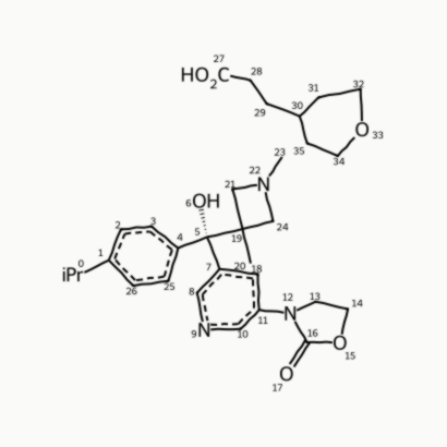 CC(C)c1ccc([C@](O)(c2cncc(N3CCOC3=O)c2)C2(C)CN(C)C2)cc1.O=C(O)CCC1CCOCC1